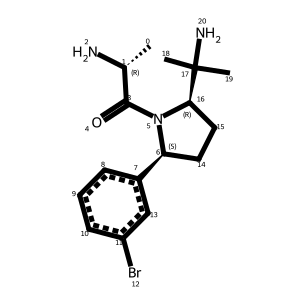 C[C@@H](N)C(=O)N1[C@H](c2cccc(Br)c2)CC[C@@H]1C(C)(C)N